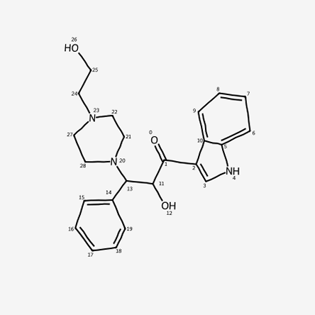 O=C(c1c[nH]c2ccccc12)C(O)C(c1ccccc1)N1CCN(CCO)CC1